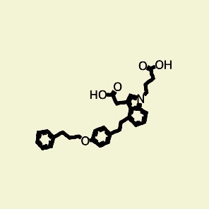 O=C(O)CCCn1cc(CC(=O)O)c2c(CCc3ccc(OCCCc4ccccc4)cc3)cccc21